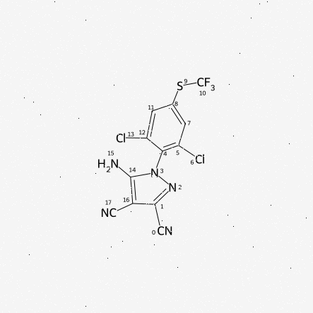 N#Cc1nn(-c2c(Cl)cc(SC(F)(F)F)cc2Cl)c(N)c1C#N